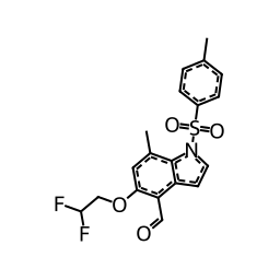 Cc1ccc(S(=O)(=O)n2ccc3c(C=O)c(OCC(F)F)cc(C)c32)cc1